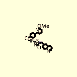 COc1cccc(-c2ccc(Cl)c(NC3=NC(=O)/C(=C\c4ccc5ncccc5c4)S3)c2)n1